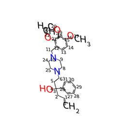 C=CCC(O)(CCN1CCN(Cc2ccc(OC)c(OC)c2OC)CC1)c1ccccc1